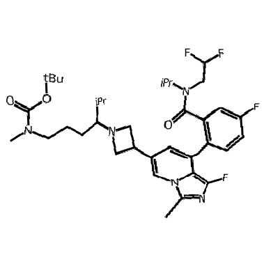 Cc1nc(F)c2c(-c3ccc(F)cc3C(=O)N(CC(F)F)C(C)C)cc(C3CN(C(CCCN(C)C(=O)OC(C)(C)C)C(C)C)C3)cn12